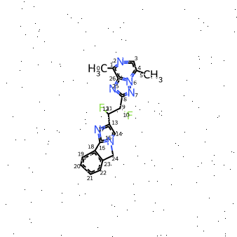 Cc1ncc(C)n2nc([C@H](F)C(F)c3cn4c(n3)-c3ccccc3C4)nc12